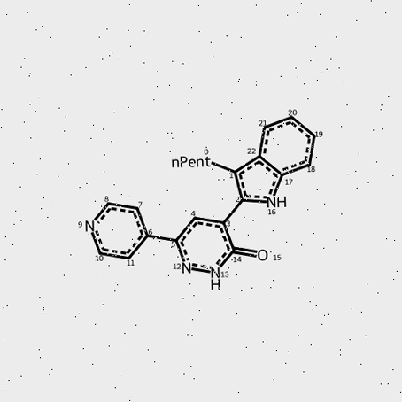 CCCCCc1c(-c2cc(-c3ccncc3)n[nH]c2=O)[nH]c2ccccc12